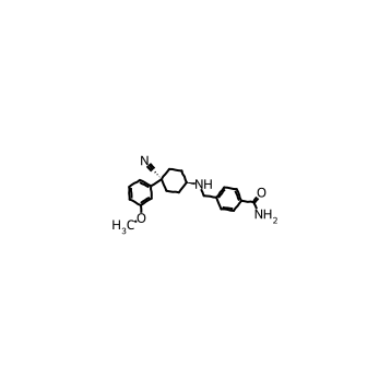 COc1cccc([C@]2(C#N)CC[C@H](NCc3ccc(C(N)=O)cc3)CC2)c1